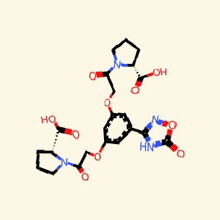 O=C(O)[C@H]1CCCN1C(=O)COc1cc(OCC(=O)N2CCC[C@@H]2C(=O)O)cc(-c2noc(=O)[nH]2)c1